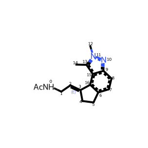 CC(=O)NC/C=C1\CCc2ccc3nn(C)c(C)c3c21